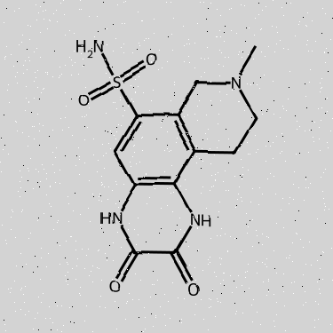 CN1CCc2c(c(S(N)(=O)=O)cc3[nH]c(=O)c(=O)[nH]c23)C1